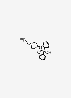 O=C(OC1CCN(CC[18F])CC1)C(O)(c1ccccc1)c1ccccc1